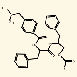 CCC(=O)OCC(Cc1ccccc1)NC(=O)C(Cc1ccccc1)NC(=O)c1ccc(CN(C)C)cc1